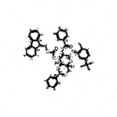 Cc1ccc(C(C)(C)C)cc1S[C@@H]1O[C@@H]2COC(c3ccccc3)O[C@H]2[C@H](OC(=O)OCC2c3ccccc3-c3ccccc32)[C@H]1OC(=O)c1ccccc1